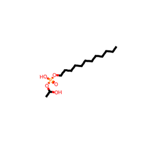 CCCCCCCCCCCCOP(=O)(O)OC(C)O